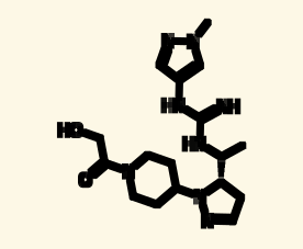 CC(NC(=N)Nc1cnn(C)c1)[C@@H]1CC=NN1C1CCN(C(=O)CO)CC1